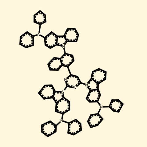 c1ccc(N(c2ccccc2)c2ccc3c(c2)c2ccccc2n3-c2cc(-c3ccc(-n4c5ccccc5c5cc(N(c6ccccc6)c6ccccc6)ccc54)c4ccccc34)nc(-n3c4ccccc4c4cc(N(c5ccccc5)c5ccccc5)ccc43)n2)cc1